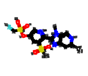 CCS(=O)(=O)c1cc(OS(=O)(=O)CF)cnc1-c1nc2cc(C(F)(F)F)ncc2n1C